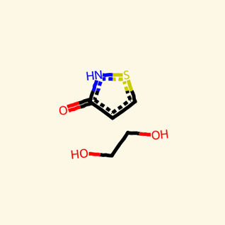 O=c1ccs[nH]1.OCCO